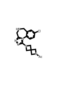 CC(=O)N1CC2(C1)CN(c1nnc3n1-c1ccc(Cl)cc1CNC3)C2